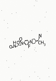 CC(C#N)=C1CCN(c2ccc(N3CC(CNC=O)OC3=O)cc2F)CC1